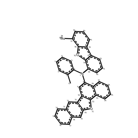 Cc1ccccc1N(c1cc2c3cc4ccccc4cc3oc2c2ccccc12)c1cccc2c1oc1c(C(C)(C)C)cccc12